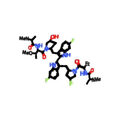 CCC(NC(=O)C(C)NC)C(=O)N1CC(F)CC1Cc1c(-c2[nH]c3cc(F)ccc3c2CC2CC(O)CN2C(=O)C(NC(=O)C(C)NC)C(C)OC)[nH]c2cc(F)ccc12